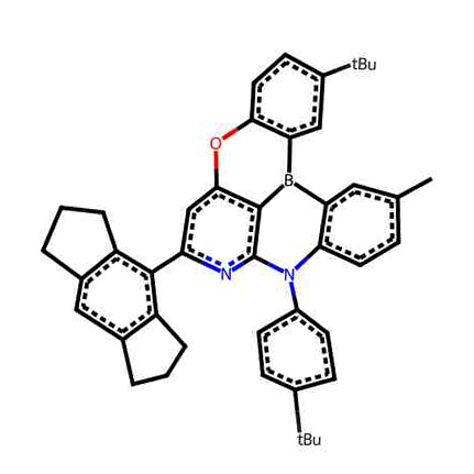 Cc1ccc2c(c1)B1c3cc(C(C)(C)C)ccc3Oc3cc(-c4c5c(cc6c4CCC6)CCC5)nc(c31)N2c1ccc(C(C)(C)C)cc1